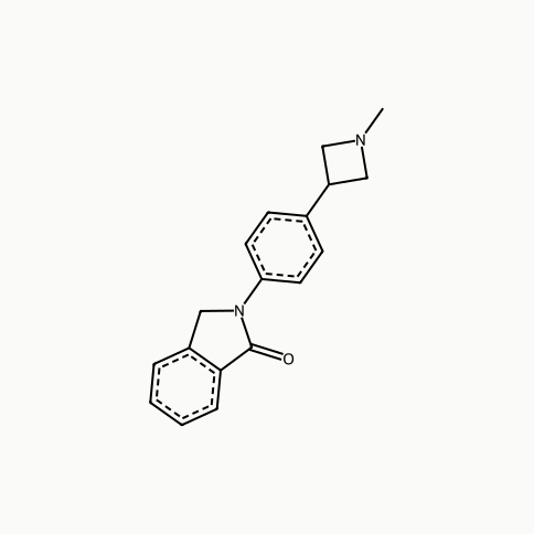 CN1CC(c2ccc(N3Cc4ccccc4C3=O)cc2)C1